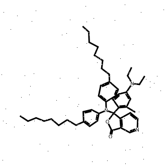 CCCCCCCCc1ccc(N(c2ccc(CCCCCCCC)cc2)C2(c3ccc(N(CC)CC)cc3C)OC(=O)c3cnccc32)cc1